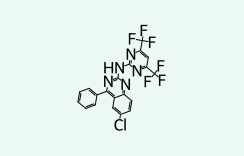 FC(F)(F)c1cc(C(F)(F)F)nc(Nc2nc(-c3ccccc3)c3cc(Cl)ccc3n2)n1